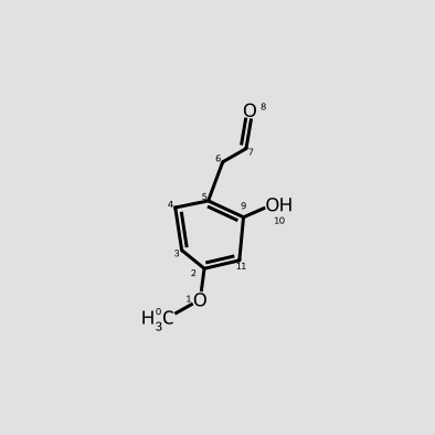 COc1ccc(CC=O)c(O)c1